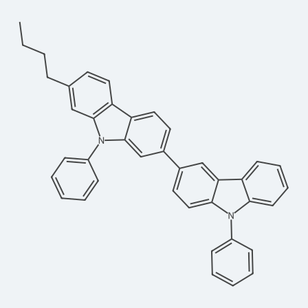 CCCCc1ccc2c3ccc(-c4ccc5c(c4)c4ccccc4n5-c4ccccc4)cc3n(-c3ccccc3)c2c1